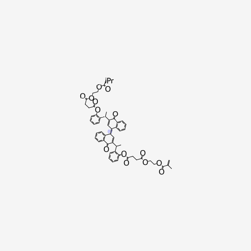 C=C(C)C(=O)OCCOC(=O)CCC(=O)Oc1ccccc1C(C)C1=C/C(=C2/C=C(C(C)c3ccccc3OC(=O)CCC(=O)OCCOC(=O)C(C)C)C(=O)c3ccccc32)c2ccccc2C1=O